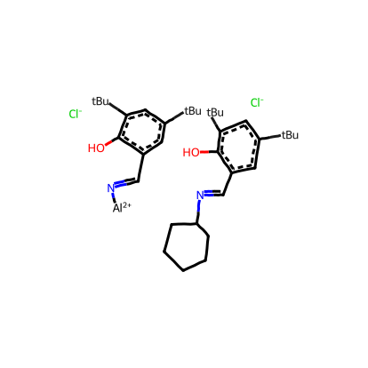 CC(C)(C)c1cc(C=NC2CCCCC2)c(O)c(C(C)(C)C)c1.CC(C)(C)c1cc(C=[N][Al+2])c(O)c(C(C)(C)C)c1.[Cl-].[Cl-]